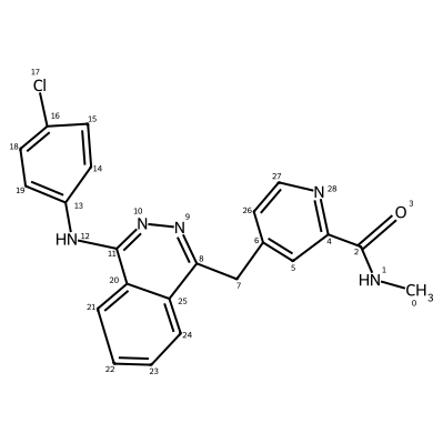 CNC(=O)c1cc(Cc2nnc(Nc3ccc(Cl)cc3)c3ccccc23)ccn1